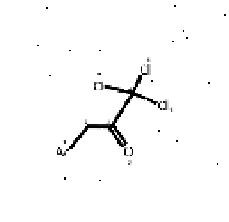 CC(=O)CC(=O)C(Cl)(Cl)Cl